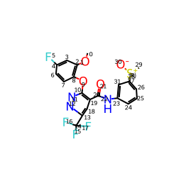 COc1cc(F)ccc1Oc1nnc(C(F)(F)F)cc1C(=O)Nc1cccc([S@+](C)[O-])c1